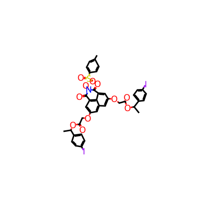 Cc1ccc(S(=O)(=O)ON2C(=O)c3cc(OCC(=O)OC(C)c4ccc(I)cc4)cc4cc(OCC(=O)OC(C)c5ccc(I)cc5)cc(c34)C2=O)cc1